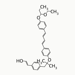 CCOC(CC)Oc1ccc(C=CC=Cc2ccc(OC(C)(C)Cc3ccc(C=CO)cc3)cc2)cc1